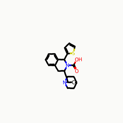 O=C(O)N1C(c2cccs2)c2ccccc2CC1C1CC2CCN1CC2